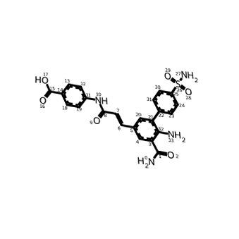 NC(=O)c1cc(C=CC(=O)Nc2ccc(C(=O)O)cc2)cc(-c2ccc(S(N)(=O)=O)cc2)c1N